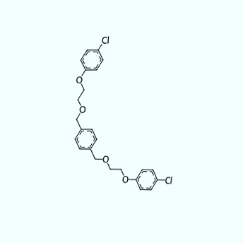 Clc1ccc(OCCOCc2ccc(COCCOc3ccc(Cl)cc3)cc2)cc1